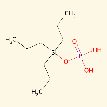 CCC[Si](CCC)(CCC)OP(=O)(O)O